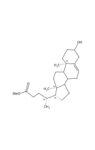 COC(=O)CC[C@@H](C)[C@H]1CCC2C3CC=C4CC(O)CC[C@]4(C)C3CC[C@@]21C